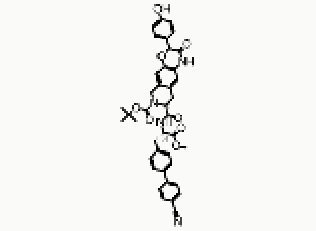 COC(=O)[C@H](Cc1ccc(-c2ccc(C#N)cc2)cc1)NC(=O)[C@@H]1Cc2cc3c(cc2CN1C(=O)OC(C)(C)C)OC(c1ccc(O)cc1)C(=O)N3